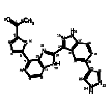 CC(=O)c1ccc(-c2nccc3[nH]c(-c4n[nH]c5ccc(-c6cn[nH]c6)cc45)nc23)s1